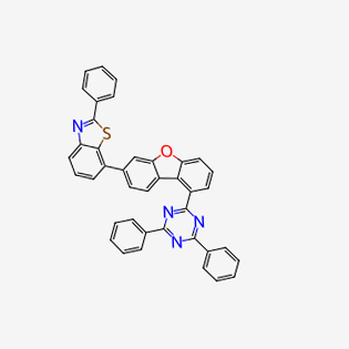 c1ccc(-c2nc(-c3ccccc3)nc(-c3cccc4oc5cc(-c6cccc7nc(-c8ccccc8)sc67)ccc5c34)n2)cc1